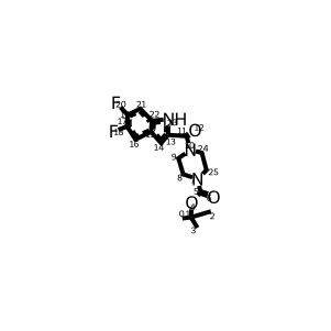 CC(C)(C)OC(=O)N1CCN(C(=O)c2cc3cc(F)c(F)cc3[nH]2)CC1